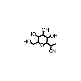 CC(C#N)C1OC(CO)C(O)C(O)C1O